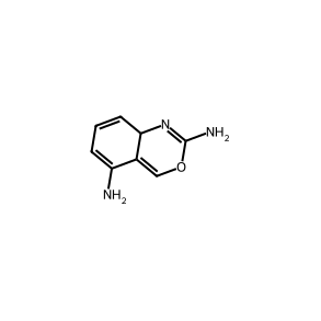 NC1=CC=CC2N=C(N)OC=C12